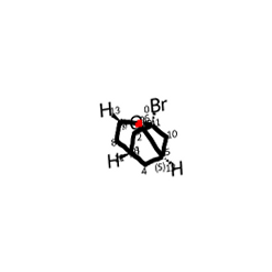 Br[C@]12C[C@@H]3C[C@@H](C[C@H](C3)O1)C2